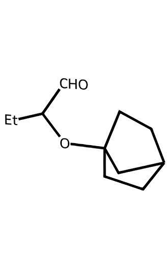 CCC(C=O)OC12CCC(CC1)C2